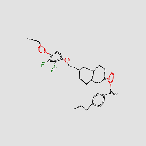 C=C(OC1CCC2CC(COc3ccc(OCC)c(F)c3F)CCC2C1)c1ccc(CCC)cc1